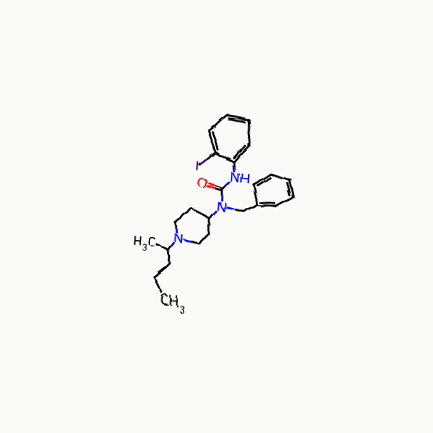 CCCC(C)N1CCC(N(Cc2ccccc2)C(=O)Nc2ccccc2I)CC1